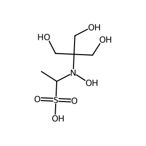 CC(N(O)C(CO)(CO)CO)S(=O)(=O)O